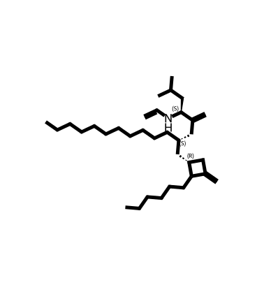 C=CN[C@@H](CC(C)C)C(=C)C[C@@H](CCCCCCCCCCC)C[C@@H]1CC(=C)C1CCCCCC